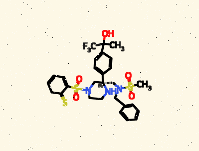 CC(O)(c1ccc([C@]2(CN(Cc3ccccc3)S(C)(=O)=O)CN(S(=O)(=O)C3=CC=CCC3=S)CCN2)cc1)C(F)(F)F